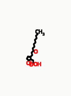 CCCCCCCCCC(=O)CCC1=CCC(O)C1CC(=O)O